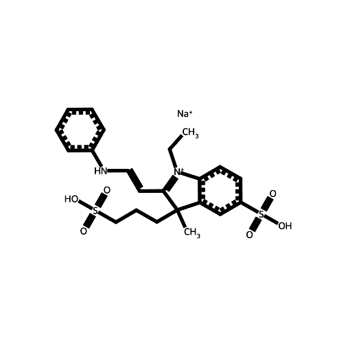 CC[N+]1=C(C=CNc2ccccc2)C(C)(CCCS(=O)(=O)O)c2cc(S(=O)(=O)O)ccc21.[Na+]